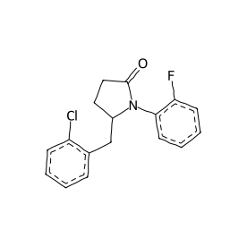 O=C1CCC(Cc2ccccc2Cl)N1c1ccccc1F